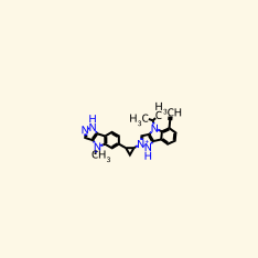 C#Cc1cccc2c3[nH][n+](C4CC4c4ccc5c6[nH]ncc6n(C)c5c4)cc3n(C(C)C)c12